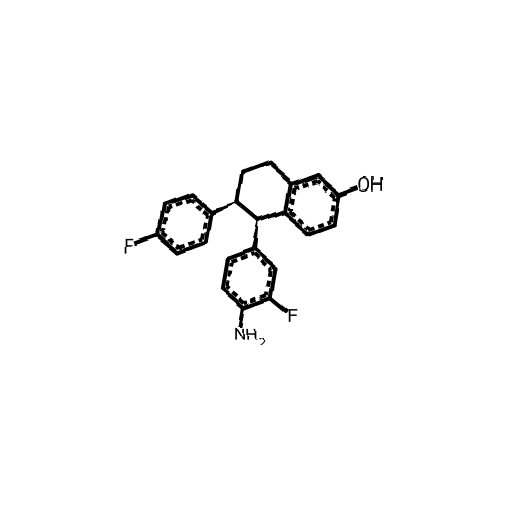 Nc1ccc([C@@H]2c3ccc(O)cc3CC[C@@H]2c2ccc(F)cc2)cc1F